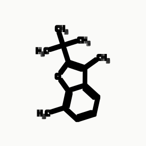 Cc1c(C(C)(C)C)oc2c(C)cccc12